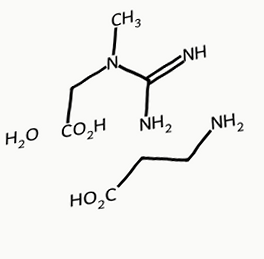 CN(CC(=O)O)C(=N)N.NCCC(=O)O.O